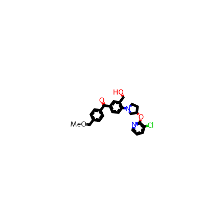 COCc1ccc(C(=O)c2ccc(N3CCC(Oc4ncccc4Cl)C3)c(CO)c2)cc1